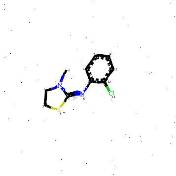 CN1CCS/C1=N/c1ccccc1Cl